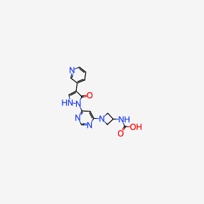 O=C(O)NC1CN(c2cc(-n3[nH]cc(-c4cccnc4)c3=O)ncn2)C1